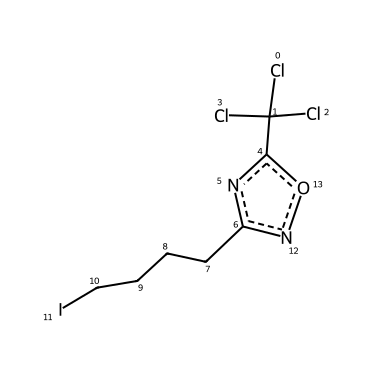 ClC(Cl)(Cl)c1nc(CCCCI)no1